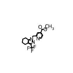 COC(=O)c1ccnc(Cn2nc(C(F)(F)F)c3c2CCCC3)c1